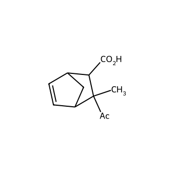 CC(=O)C1(C)C2C=CC(C2)C1C(=O)O